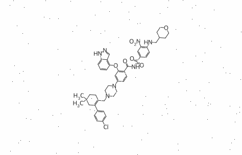 CC1(C)CCC(CN2CCN(c3ccc(C(=O)NS(=O)(=O)c4ccc(NCC5CCOCC5)c([N+](=O)[O-])c4)c(Oc4cccc5[nH]ncc45)c3)CC2)=C(c2ccc(Cl)cc2)C1